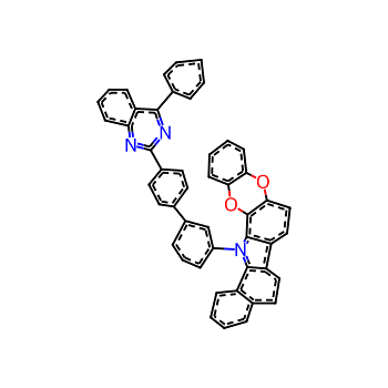 c1ccc(-c2nc(-c3ccc(-c4cccc(-n5c6c7c(ccc6c6ccc8ccccc8c65)Oc5ccccc5O7)c4)cc3)nc3ccccc23)cc1